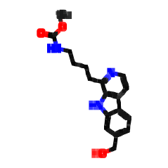 CC(C)(C)OC(=O)NCCCCc1nccc2c1[nH]c1cc(CO)ccc12